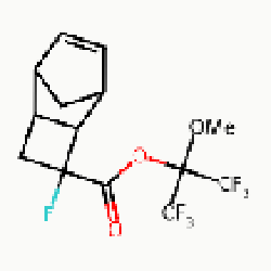 COC(OC(=O)C1(F)CC2C3C=CC(C3)C21)(C(F)(F)F)C(F)(F)F